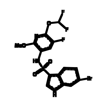 COc1nc(OC(F)F)c(F)cc1NS(=O)(=O)c1c[nH]c2cc(Br)ccc12